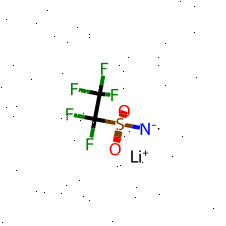 [Li+].[N-]S(=O)(=O)C(F)(F)C(F)(F)F